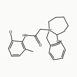 Cc1cccc(Cl)c1NC(=O)C[N+]1(Cc2ccccc2)CCCCCC1O